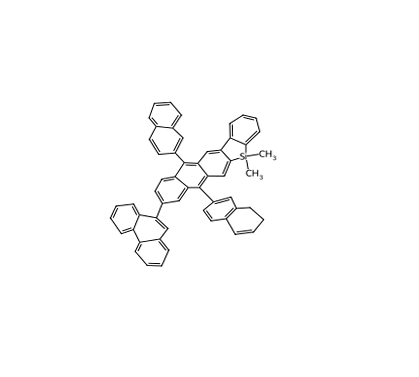 C[Si]1(C)c2ccccc2-c2cc3c(-c4ccc5ccccc5c4)c4ccc(-c5cc6ccccc6c6ccccc56)cc4c(-c4ccc5c(c4)CCC=C5)c3cc21